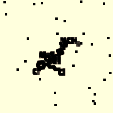 CS/C(=N\C12CC(n3cnc(C)c3)(C1)C2)NC(=O)C(CCCCCl)c1cccc(Cl)c1